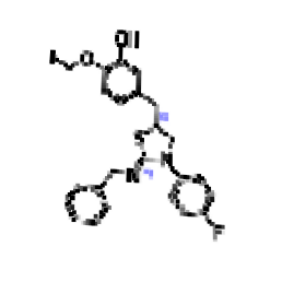 Oc1cc(/C=C2/CN(c3ccc(F)cc3)/C(=N/Cc3ccccc3)S2)ccc1OCI